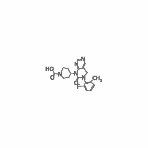 Cc1cccc(F)c1N1Cc2cncnc2N(C2CCN(C(=O)O)CC2)C1=O